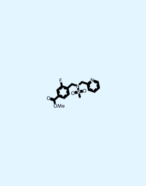 COC(=O)c1ccc(CN(Cc2ccccn2)S(C)(=O)=O)c(F)c1